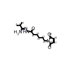 CC(C)/C(N)=N/NC(=O)CCCCCN1C(=O)C=CC1=O